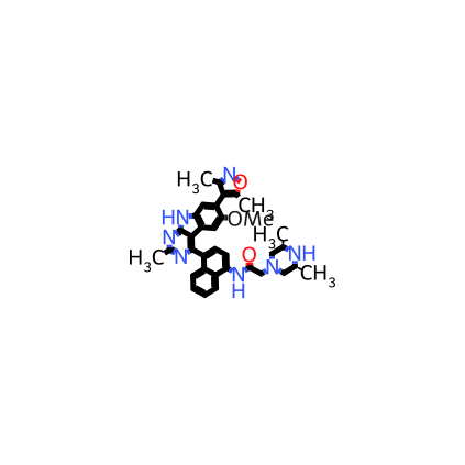 COc1cc2c(cc1-c1c(C)noc1C)[nH]c1nc(C)nc(-c3ccc(NC(=O)CN4C[C@@H](C)N[C@@H](C)C4)c4ccccc34)c12